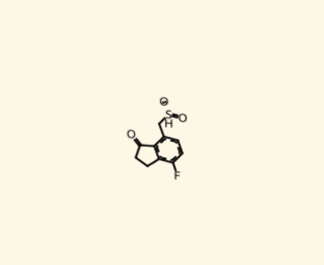 O=C1CCc2c(F)ccc(C[SH](=O)=O)c21